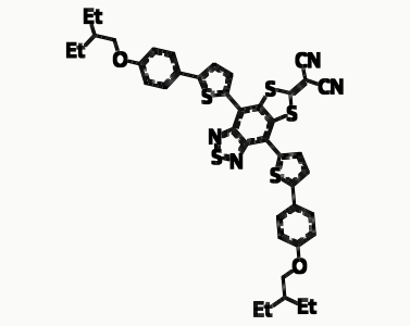 CCC(CC)COc1ccc(-c2ccc(-c3c4c(c(-c5ccc(-c6ccc(OCC(CC)CC)cc6)s5)c5nsnc35)SC(=C(C#N)C#N)S4)s2)cc1